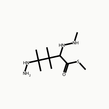 CNNC(C(=O)SC)C(C)(C)C(C)(C)NN